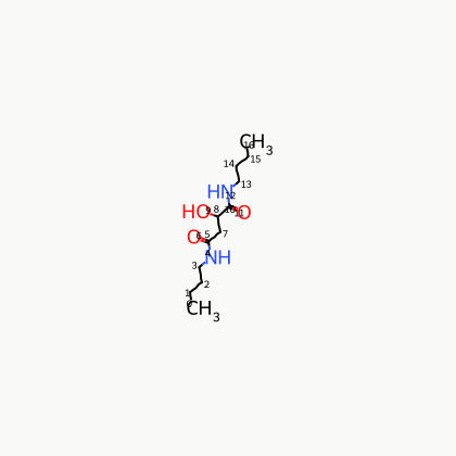 CCCCNC(=O)CC(O)C(=O)NCCCC